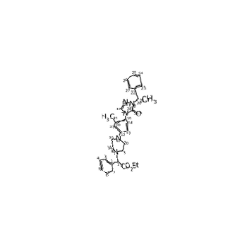 CCOC(=O)C(c1ccccc1)N1CCN(c2ccc(-n3cnn([C@@H](C)c4ccccc4)c3=O)c(C)c2)CC1